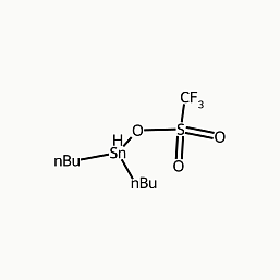 CCC[CH2][SnH]([CH2]CCC)[O]S(=O)(=O)C(F)(F)F